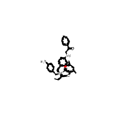 CCC1=Nc2c(C)cc(C)nc2[N+]1(Cc1ccc(N)cc1)Cc1ccc(NCC(=O)c2ccccc2)cc1